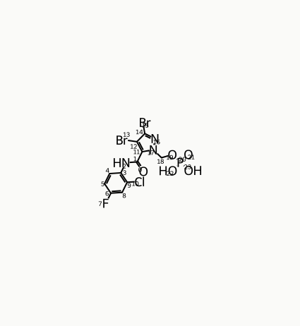 O=C(Nc1ccc(F)cc1Cl)c1c(Br)c(Br)nn1COP(=O)(O)O